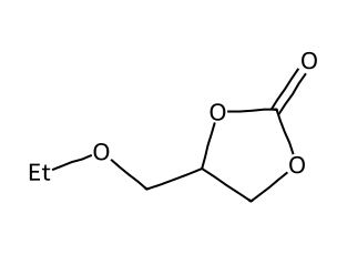 CCOCC1COC(=O)O1